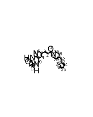 O=C(C=Cc1cnc2c(c1)CNC1(CC1)C(=O)N2)N1CC=C(Cc2cccs2)CC1